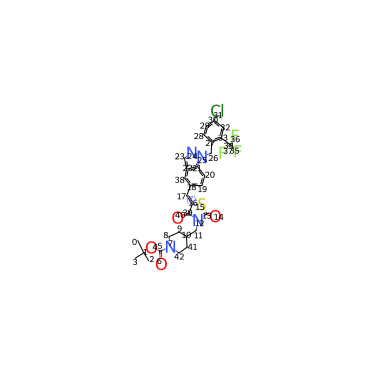 CC(C)(C)OC(=O)N1CCC(CN2C(=O)S/C(=C\c3ccc4c(cnn4Cc4ccc(Cl)cc4C(F)(F)F)c3)C2=O)CC1